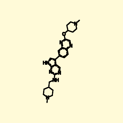 CN1CCC(CNc2ncc3c(-c4ccc5ncc(OC6CCN(C)CC6)nc5c4)c[nH]c3n2)CC1